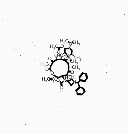 CC[C@@H]1OC(=O)[C@H](C)C(=O)[C@@H](C)[C@H](O[C@@H]2O[C@H](C)C[C@H](N(C)C)[C@@H]2OC(C)=O)C(C)(OC)C[C@H](C)C(=O)[C@H](C)[C@H]2N(C3CN(C(c4ccccc4)c4ccccc4)C3)C(=O)O[C@@]12C